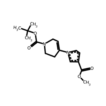 COC(=O)c1ccn(C2=CCN(C(=O)OC(C)(C)C)CC2)c1